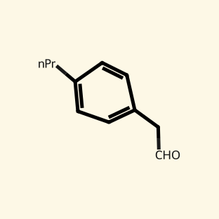 CCCc1ccc(CC=O)cc1